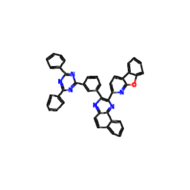 c1ccc(-c2nc(-c3ccccc3)nc(-c3cccc(-c4nc5ccc6ccccc6c5nc4-c4ccc5c(n4)oc4ccccc45)c3)n2)cc1